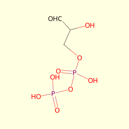 O=CC(O)COP(=O)(O)OP(=O)(O)O